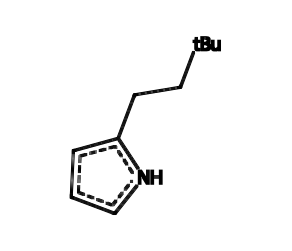 CC(C)(C)CCc1ccc[nH]1